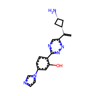 C=C(c1cnc(-c2ccc(-n3ccnc3)cc2O)nn1)[C@H]1C[C@@H](N)C1